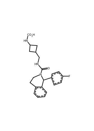 O=C(O)NC1CC(CNC(=O)N2CCc3ccccc3C2c2ccc(F)cc2)C1